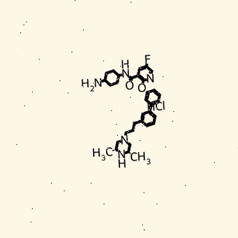 C[C@@H]1CN(CCCc2cccc(-c3cccc(Oc4ncc(F)cc4C(=O)NC4CCC(N)CC4)c3)c2)C[C@H](C)N1.Cl